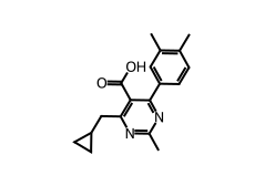 Cc1nc(CC2CC2)c(C(=O)O)c(-c2ccc(C)c(C)c2)n1